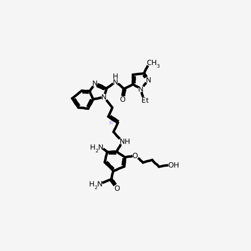 CCn1nc(C)cc1C(=O)Nc1nc2ccccc2n1C/C=C/CNc1c(N)cc(C(N)=O)cc1OCCCO